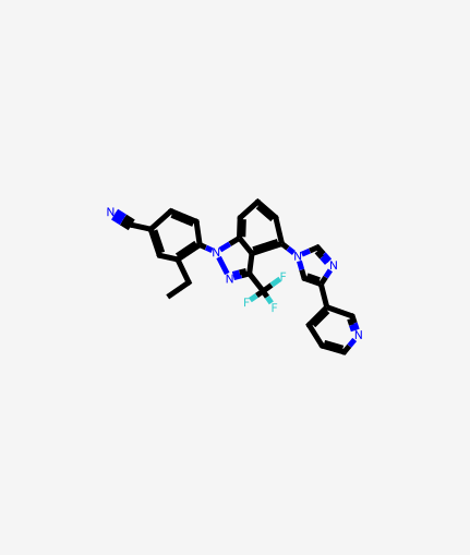 CCc1cc(C#N)ccc1-n1nc(C(F)(F)F)c2c(-n3cnc(-c4cccnc4)c3)cccc21